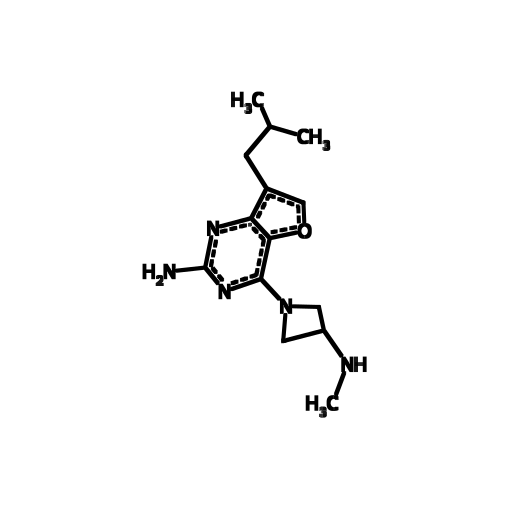 CNC1CN(c2nc(N)nc3c(CC(C)C)coc23)C1